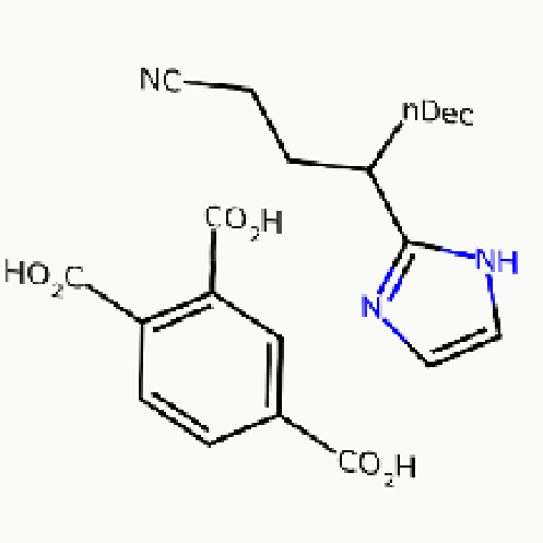 CCCCCCCCCCC(CCC#N)c1ncc[nH]1.O=C(O)c1ccc(C(=O)O)c(C(=O)O)c1